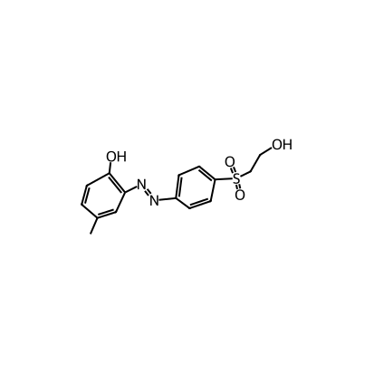 Cc1ccc(O)c(N=Nc2ccc(S(=O)(=O)CCO)cc2)c1